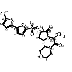 C[C@@H](C(=O)N1CCOCC1)N1CC[C@H](NS(=O)(=O)c2ccc(-c3ccc(Cl)s3)s2)C1=O